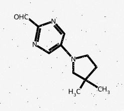 CC1(C)CCN(c2cnc(C=O)nc2)C1